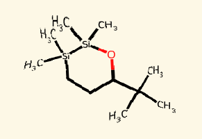 CC(C)(C)C1CC[Si](C)(C)[Si](C)(C)O1